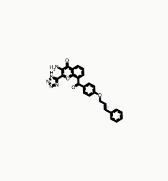 Nc1c(-c2nnn[nH]2)oc2c(C(=O)c3ccc(OC/C=C/c4ccccc4)cc3)cccc2c1=O